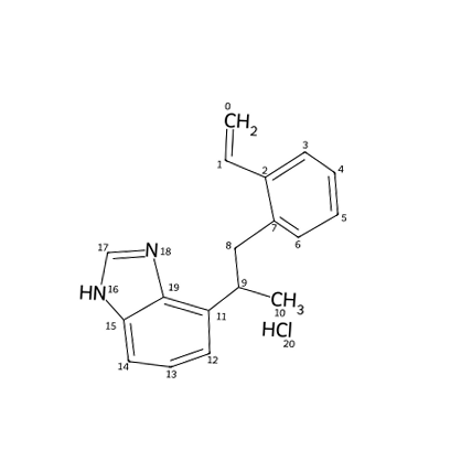 C=Cc1ccccc1CC(C)c1cccc2[nH]cnc12.Cl